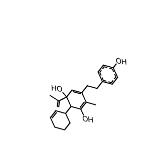 C=C(C)C1(O)C=C(CCc2ccc(O)cc2)C(C)=C(O)C1C1C=CCCC1